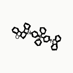 c1ccc([Si](c2ccccc2)(c2ccc(-n3c4ccccc4c4ccccc43)cc2)c2ccc(-n3c4ccccc4c4c5c(ccc43)oc3ccccc35)cc2)cc1